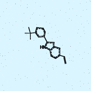 C=Cc1ccc2[nH]c(-c3cccc(C(C)(C)C)c3)cc2c1